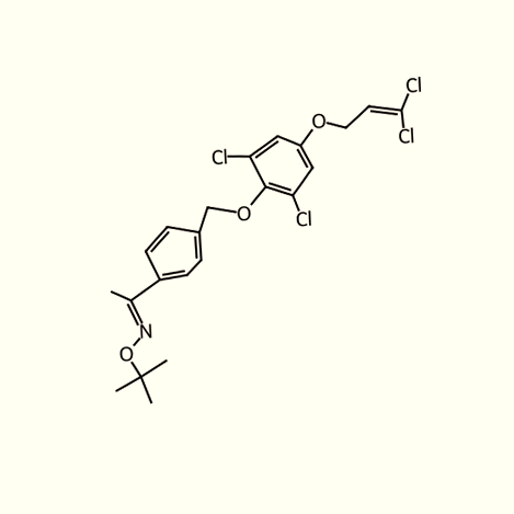 CC(=NOC(C)(C)C)c1ccc(COc2c(Cl)cc(OCC=C(Cl)Cl)cc2Cl)cc1